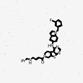 CC(C)CNC/C=C/C(=O)N1CCc2c(sc3ncnc(Nc4ccc5c(ccn5Cc5cccc(F)c5)c4)c23)C1